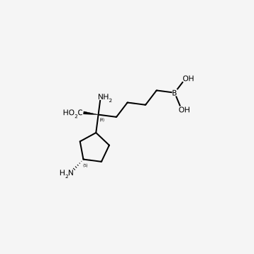 N[C@H]1CCC([C@](N)(CCCCB(O)O)C(=O)O)C1